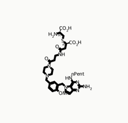 CCCCCNc1nc(N)nc2ccn(Cc3cc(CN4CCN(C(=O)CCNC(=O)C[C@@H](SC[C@H](N)C(=O)O)C(=O)O)CC4)ccc3OC)c12